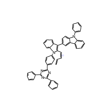 C=C/C=C\c1c(-c2ccc3c(c2)c2ccccc2n3-c2ccccc2)c2ccccc2n1-c1ccc(-c2nc(-c3ccccc3)nc(-c3ccccc3)n2)cc1